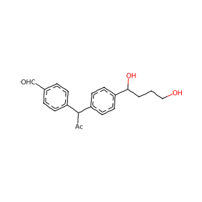 CC(=O)C(c1ccc([C]=O)cc1)c1ccc(C(O)CCCO)cc1